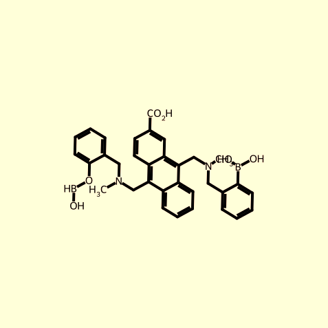 CN(Cc1ccccc1OBO)Cc1c2ccccc2c(CN(C)Cc2ccccc2B(O)O)c2cc(C(=O)O)ccc12